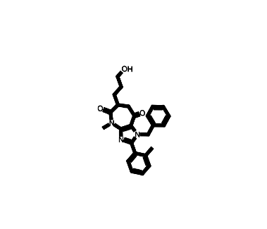 Cc1ccccc1-c1nc2c(n1Cc1ccccc1)C(=O)CC(CCCO)C(=O)N2C